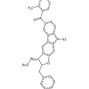 CCn1c2ccc(C(=O)c3ccccc3C)cc2c2cc3c(cc21)OC(Cc1ccccc1)/C3=N\OC(C)=O